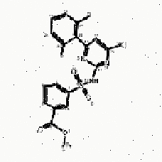 CCCOC(=O)c1cccc(S(=O)(=O)Nc2nc(Cl)cc(-c3c(C)cccc3C)n2)c1